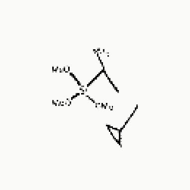 CC1CC1.CO[Si](OC)(OC)C(C)N